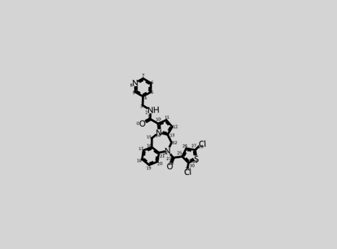 O=C(NCc1cccnc1)c1ccc2n1Cc1ccccc1N(C(=O)c1cc(Cl)sc1Cl)C2